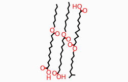 CC(C)CCCCCCCOC(=O)CCCCCCCCCCC(=O)O.CCCCCCCCCCOC(=O)CCCCCCCCCCC(=O)O.CCCCCCCCOC(=O)CCCCCCCCCCC(=O)O